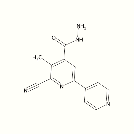 Cc1c(C(=O)NN)cc(-c2ccncc2)nc1C#N